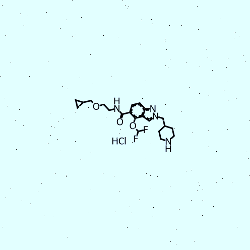 Cl.O=C(NCCOCC1CC1)c1ccc2nn(CC3CCNCC3)cc2c1OC(F)F